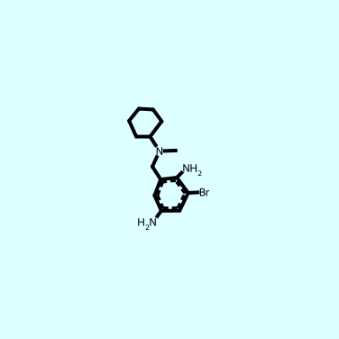 CN(Cc1cc(N)cc(Br)c1N)C1CCCCC1